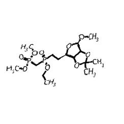 CCOP(=O)(CC[C@H]1O[C@@H](OC)C2OC(C)(C)OC21)CP(=O)(OC)OC